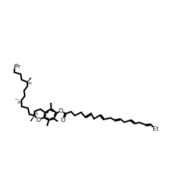 CCC=CCC=CCC=CCC=CCC=CCCCC(=O)Oc1c(C)c(C)c2c(c1C)CC[C@@](C)(CCC[C@H](C)CCC[C@H](C)CCCC(C)C)O2